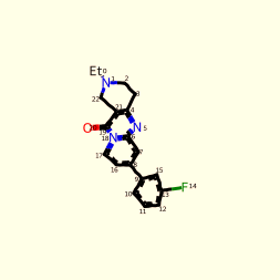 CCN1CCc2nc3cc(-c4cccc(F)c4)ccn3c(=O)c2C1